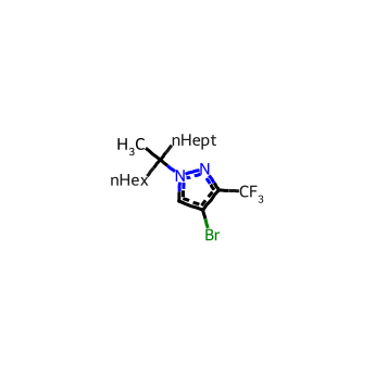 CCCCCCCC(C)(CCCCCC)n1cc(Br)c(C(F)(F)F)n1